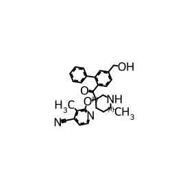 Cc1c(C#N)ccnc1O[C@]1(C(=O)c2ccc(CO)cc2-c2ccccc2)CC[C@@H](C)NC1